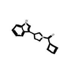 O=C(C1CCC1)N1CCC(c2c[nH]c3ccccc23)C1